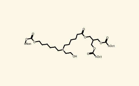 CCCCCCCCCOC(=O)OCCCCCCN(CCO)CCCCCC(=O)OCC(COC(=O)CCCCCCCC)COC(=O)CCCCCCCC